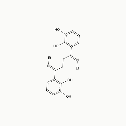 CCN=C(CCC(=NCC)c1cccc(O)c1O)c1cccc(O)c1O